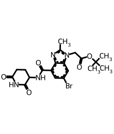 Cc1nc2c(C(=O)NC3CCC(=O)NC3=O)cc(Br)cc2n1CC(=O)OC(C)(C)C